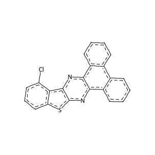 Clc1cccc2sc3nc4c5ccccc5c5ccccc5c4nc3c12